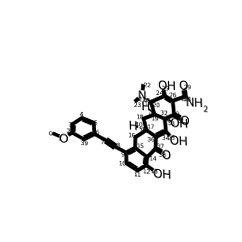 COc1cccc(C#Cc2ccc(O)c3c2C[C@H]2C[C@H]4[C@H](N(C)C)C(O)=C(C(N)=O)C(=O)[C@@]4(O)C(O)=C2C3=O)c1